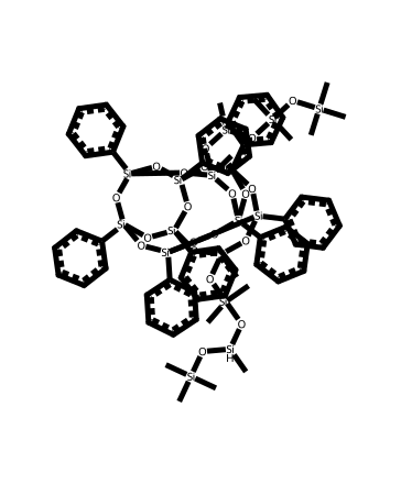 C[SiH](O[Si](C)(C)C)O[Si](C)(C)O[Si]1(C)O[Si]2(c3ccccc3)O[Si]3(c4ccccc4)O[Si]4(c5ccccc5)O[Si](C)(O[SiH](C)O[Si](C)(C)O[Si](C)(C)C)O[Si]5(c6ccccc6)O[Si](c6ccccc6)(O[Si](c6ccccc6)(O1)O[Si](c1ccccc1)(O5)O[Si](c1ccccc1)(O4)O2)O3